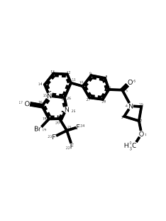 COC1CN(C(=O)c2ccc(-c3cccn4c(=O)c(Br)c(C(F)(F)F)nc34)cc2)C1